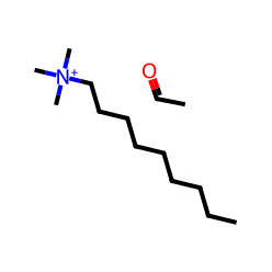 CC=O.CCCCCCCCC[N+](C)(C)C